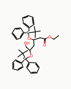 CCOC(=O)CC(CC(CO)O[Si](c1ccccc1)(c1ccccc1)C(C)(C)C)O[Si](c1ccccc1)(c1ccccc1)C(C)(C)C